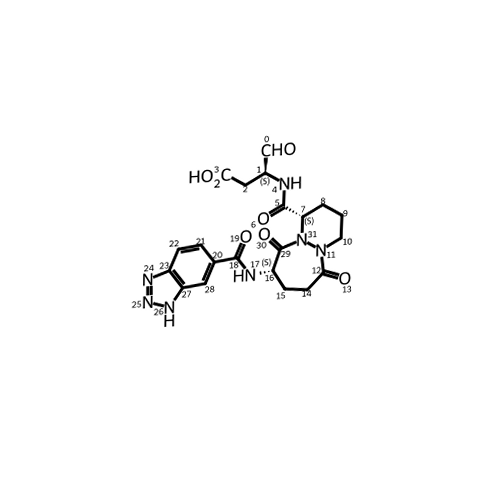 O=C[C@H](CC(=O)O)NC(=O)[C@@H]1CCCN2C(=O)CC[C@H](NC(=O)c3ccc4nn[nH]c4c3)C(=O)N12